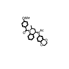 COc1ccc(C(=O)N2c3ccccc3C(N(C(C)=O)c3ccc4c(c3)OCCO4)CC2C)cc1